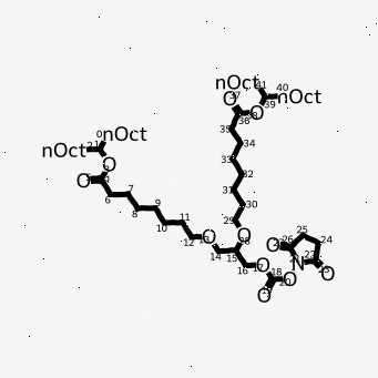 CCCCCCCCC(CCCCCCCC)OC(=O)CCCCCCCOCC(COC(=O)ON1C(=O)CCC1=O)OCCCCCCCC(=O)OC(CCCCCCCC)CCCCCCCC